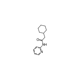 O=C(CC1CCCCC1)Nc1ccccn1